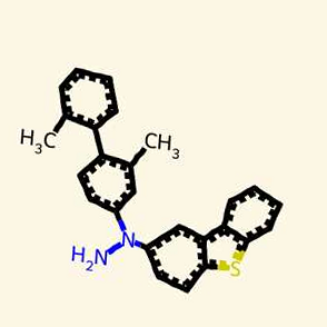 Cc1ccccc1-c1ccc(N(N)c2ccc3sc4ccccc4c3c2)cc1C